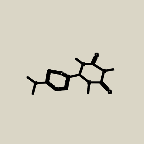 CN1C(=O)N(C)C(c2ccc(N(C)C)cc2)N(C)C1=O